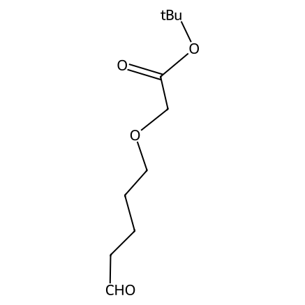 CC(C)(C)OC(=O)COCCCCC=O